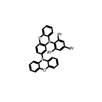 CC(C)c1cc(C(C)C)c(B2c3ccccc3Sc3ccc(N4c5ccccc5Oc5ccccc54)cc32)c(C(C)C)c1